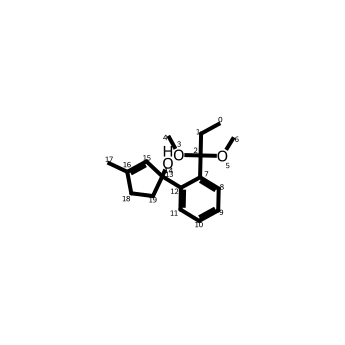 CCC(OC)(OC)c1ccccc1C1(O)C=C(C)CC1